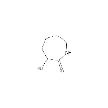 O=C1NCCCCC1O